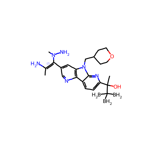 BC(B)(B)C(C)(O)c1ccc2c3ncc(/C(=C(\C)N)N(C)N)cc3n(CC3CCOCC3)c2n1